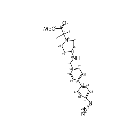 COC(=O)C(C)(C)N1CCC(NCc2ccc(-c3ccc(N=[N+]=[N-])cc3)cc2)CC1